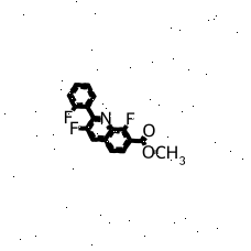 COC(=O)c1ccc2cc(F)c(-c3ccccc3F)nc2c1F